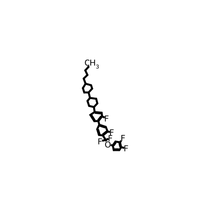 CCCCCC1CCC(C2CCC(c3ccc(-c4ccc(C(F)(F)Oc5ccc(F)c(F)c5)c(F)c4)c(F)c3)CC2)CC1